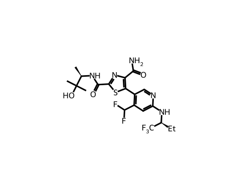 CC[C@H](Nc1cc(C(F)F)c(-c2sc(C(=O)N[C@H](C)C(C)(C)O)nc2C(N)=O)cn1)C(F)(F)F